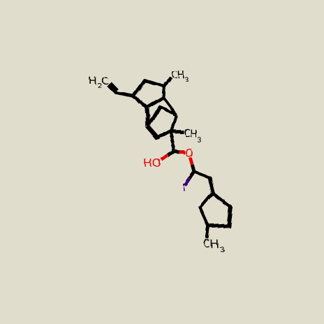 C=CC1CC(C)C2C1C1CC2C(C)(C(O)OC(I)CC2CCC(C)C2)C1